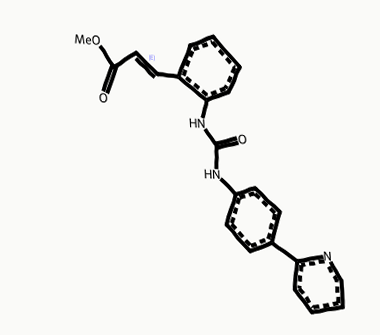 COC(=O)/C=C/c1ccccc1NC(=O)Nc1ccc(-c2ccccn2)cc1